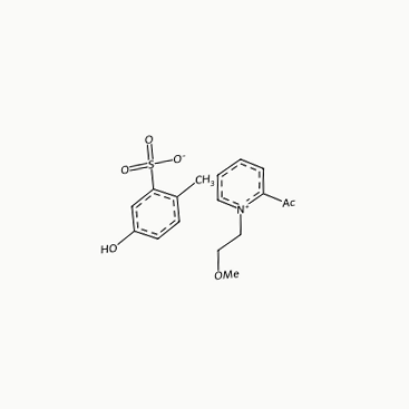 COCC[n+]1ccccc1C(C)=O.Cc1ccc(O)cc1S(=O)(=O)[O-]